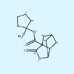 CC1(OC(=O)C23CC4CC(OC2=O)C3C4)CCCC1